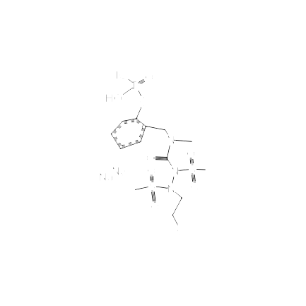 CN(Cc1ccccc1OP(=O)(O)O)C(=O)N(N(CCCl)S(C)(=O)=O)S(C)(=O)=O.[Na].[Na]